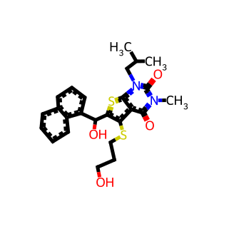 CC(C)Cn1c(=O)n(C)c(=O)c2c(SCCCO)c(C(O)c3cccc4ccccc34)sc21